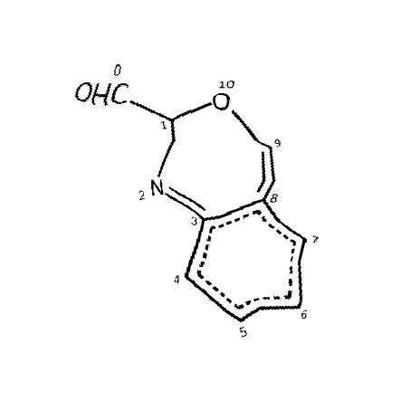 O=CC1N=c2ccccc2=CO1